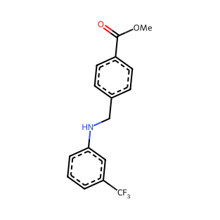 COC(=O)c1ccc(CNc2cccc(C(F)(F)F)c2)cc1